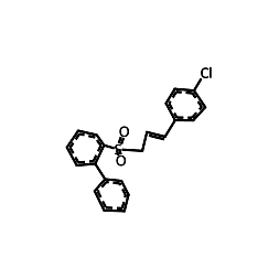 O=S(=O)(CC=Cc1ccc(Cl)cc1)c1ccccc1-c1ccccc1